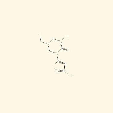 CCN1CN(C)C(=O)N(c2cc(C)ns2)C1